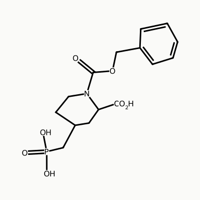 O=C(O)C1CC(CP(=O)(O)O)CCN1C(=O)OCc1ccccc1